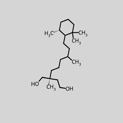 CC(CCC[C@](C)(CO)CCO)CCC1[C@H](C)CCCC1(C)C